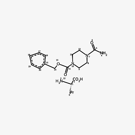 CC(C)[C@H](N)C(=O)O.NC(=O)N1CCN(C(=O)OCc2ccccc2)CC1